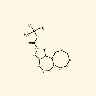 CC(C)(C)OC(=O)N1CC2CCOC3CCCCCCC3C2C1